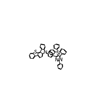 c1ccc(-c2nc(-c3ccc(-n4c5ccccc5c5c6sc7ccccc7c6ccc54)cc3)c3c(n2)-c2ccccc2[Si]3(c2ccccc2)c2ccccc2)cc1